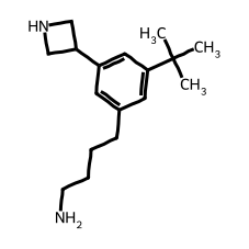 CC(C)(C)c1cc(CCCCN)cc(C2CNC2)c1